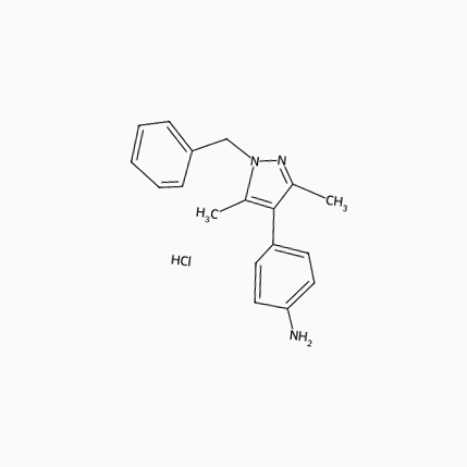 Cc1nn(Cc2ccccc2)c(C)c1-c1ccc(N)cc1.Cl